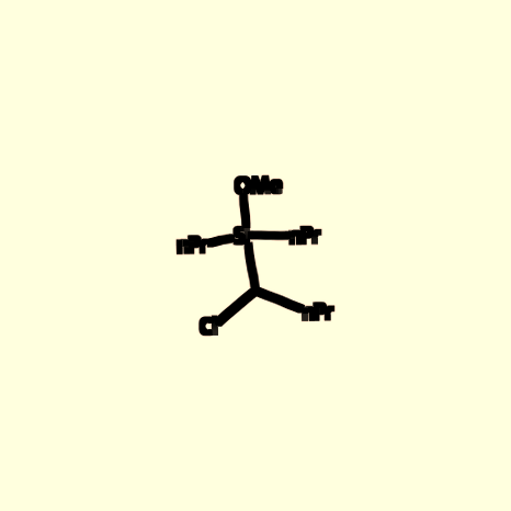 CCCC(Cl)[Si](CCC)(CCC)OC